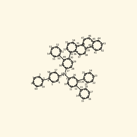 c1ccc(-c2ccc(N(c3ccc(-c4ccccc4)c(-c4ccccc4)c3)c3ccc(-c4cccc5c4ccc4c6ccccc6ccc54)c(-c4ccccc4)c3)cc2)cc1